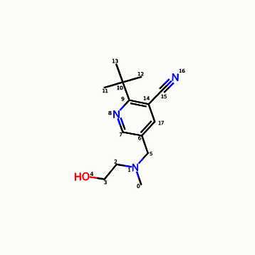 CN(CCO)Cc1cnc(C(C)(C)C)c(C#N)c1